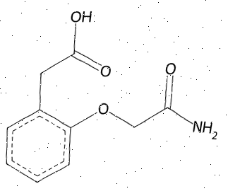 NC(=O)COc1ccccc1CC(=O)O